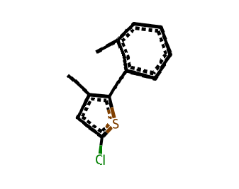 Cc1ccccc1-c1sc(Cl)cc1C